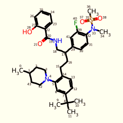 CC1CCN(c2cc(C(C)(C)C)ccc2CCC(CNC(=O)c2ccccc2O)c2ccc(N(C)S(C)(=O)=O)c(F)c2)CC1